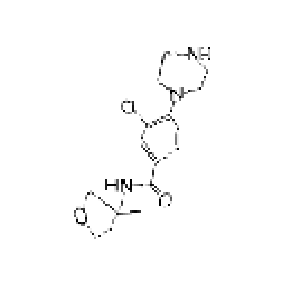 CC1(NC(=O)c2ccc(N3CCNCC3)c(Cl)c2)CCOC1